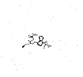 C#CCCC(CCc1ccc(NC(=O)OC(C)(C)C)c2ccccc12)[C@@H](C)CC(=O)OC